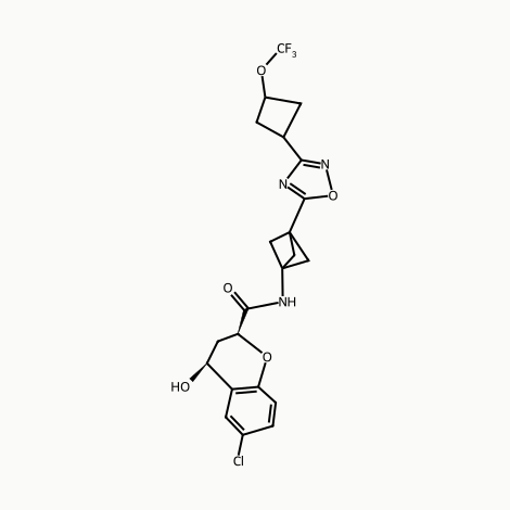 O=C(NC12CC(c3nc(C4CC(OC(F)(F)F)C4)no3)(C1)C2)[C@@H]1C[C@H](O)c2cc(Cl)ccc2O1